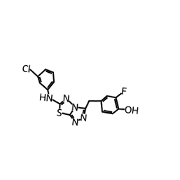 Oc1ccc(Cc2nnc3sc(Nc4cccc(Cl)c4)nn23)cc1F